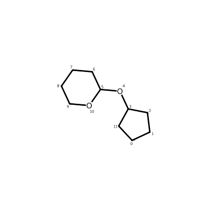 [CH]1CCC(OC2CCCCO2)C1